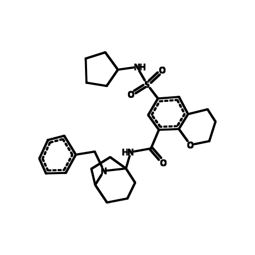 O=C(NC12CCCC(CC1)N2Cc1ccccc1)c1cc(S(=O)(=O)NC2CCCC2)cc2c1OCCC2